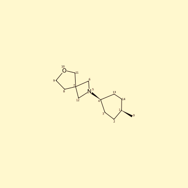 C[C@H]1CC[C@@H](N2CC3(CCOC3)C2)CC1